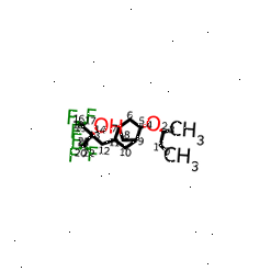 CCC(C)OC1CC2CC1CC2CC(O)(C(F)(F)F)C(F)(F)F